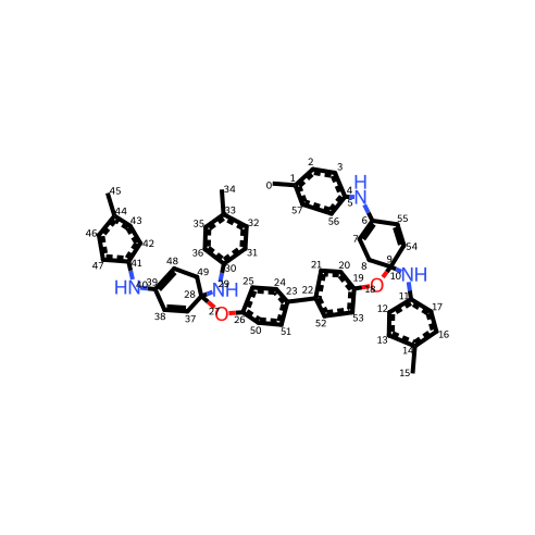 Cc1ccc(NC2=CCC(Nc3ccc(C)cc3)(Oc3ccc(-c4ccc(OC5(Nc6ccc(C)cc6)C=CC(Nc6ccc(C)cc6)=CC5)cc4)cc3)C=C2)cc1